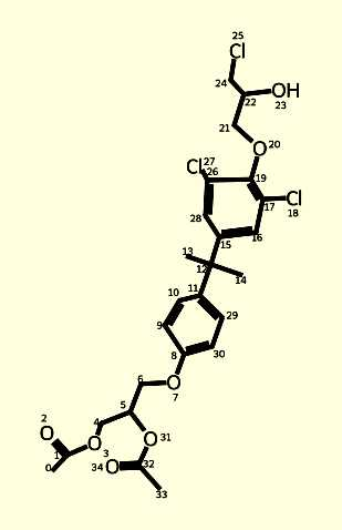 CC(=O)OCC(COc1ccc(C(C)(C)c2cc(Cl)c(OCC(O)CCl)c(Cl)c2)cc1)OC(C)=O